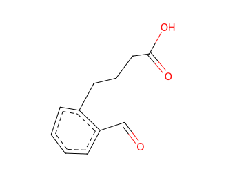 O=Cc1ccccc1CCCC(=O)O